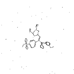 CCOC(=O)/C(=C/C1CC(F)C(F)C1)c1ccc(S(=O)(=O)CC)cc1